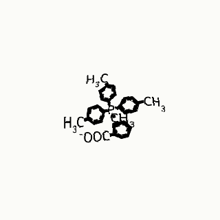 Cc1ccc([P+](C)(c2ccc(C)cc2)c2ccc(C)cc2)cc1.O=C([O-])c1ccccc1